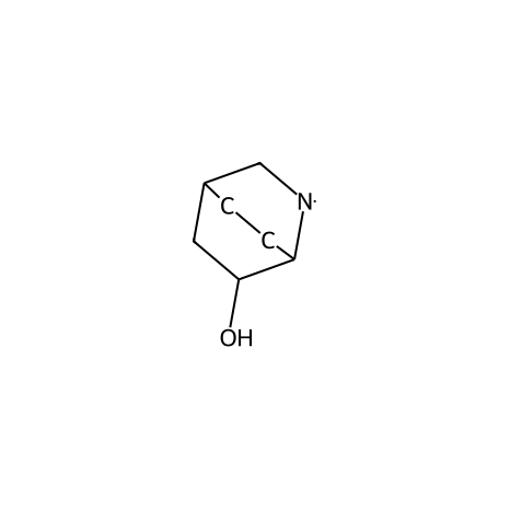 OC1CC2CCC1[N]C2